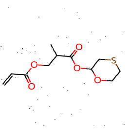 C=CC(=O)OCC(C)C(=O)OC1CSCCO1